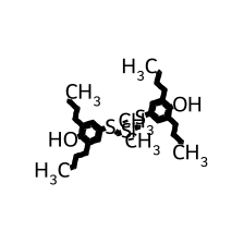 CCCCc1cc(SC[Si](C)(C)CSc2cc(CCCC)c(O)c(CCCC)c2)cc(CCCC)c1O